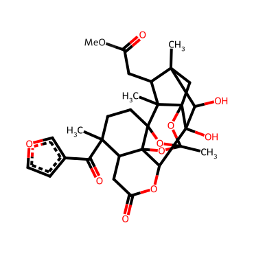 COC(=O)CC1C2(C)CC34OC5(C)OC67C(CC(=O)OC6C3(O)C2O)C(C)(C(=O)c2ccoc2)CCC7(O5)C14C